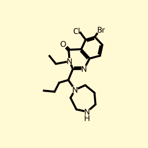 CCCC(c1nc2ccc(Br)c(Cl)c2c(=O)n1CC)N1CCCNCC1